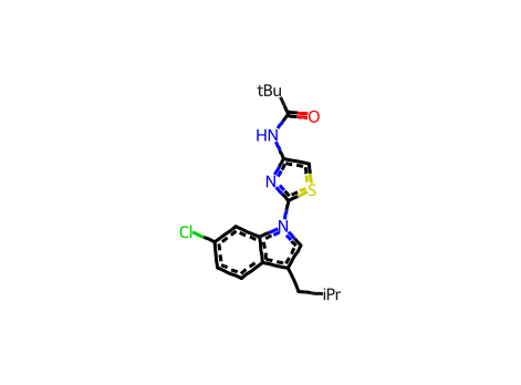 CC(C)Cc1cn(-c2nc(NC(=O)C(C)(C)C)cs2)c2cc(Cl)ccc12